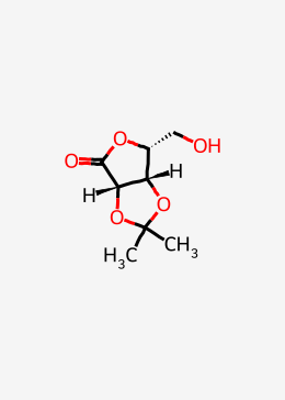 CC1(C)O[C@@H]2[C@H](O1)C(=O)O[C@@H]2CO